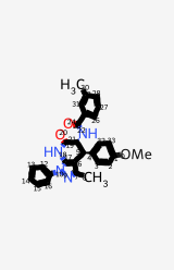 COc1ccc([C@H]2c3c(C)nn(-c4ccccc4)c3NC(=O)[C@@H]2NC(=O)c2cccc(C)c2)cc1